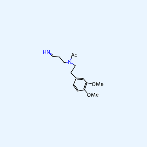 COc1ccc(CCN(CCC=N)C(C)=O)cc1OC